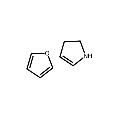 C1=CNCC1.c1ccoc1